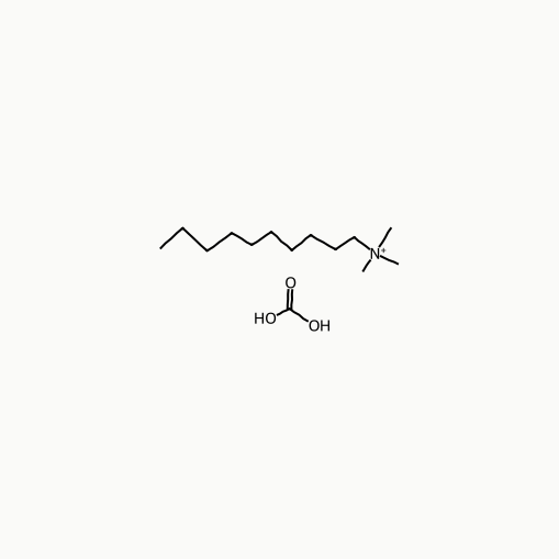 CCCCCCCCCC[N+](C)(C)C.O=C(O)O